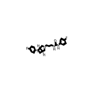 O=C(NCCCN1C[C@H]2C[C@@H](c3ccc(F)cc3)[C@H]2C1)Nc1ccc(F)cc1